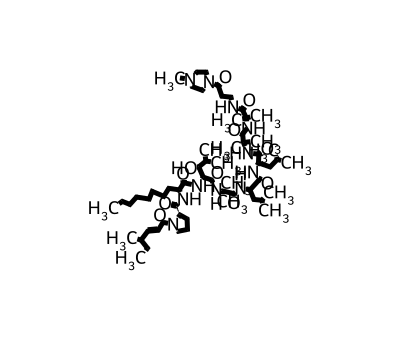 CCCCCCCCC(NC(=O)[C@@H]1CCCN1C(=O)/C=C/C(C)CC)C(=O)NC(C(=O)NC(C)(C)C(=O)NC(CC(C)C)C(=O)NC(CC(C)C)C(=O)NC(C)(C)C(=O)NC(C)(C)C(=O)NCCC(=O)N1CCN(C)CC1)C(O)C(C)C